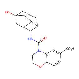 O=C(O)c1ccc2c(c1)N(C(=O)NC1C3CC4CC1CC(O)(C4)C3)CCO2